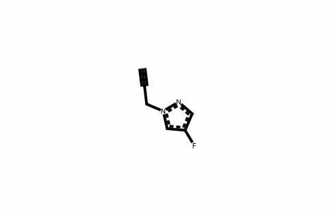 C#CCn1cc(F)[c]n1